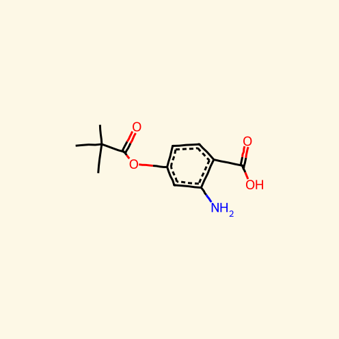 CC(C)(C)C(=O)Oc1ccc(C(=O)O)c(N)c1